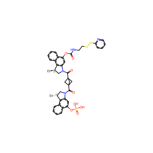 CC[C@@H]1CN(C(=O)C23CC(C(=O)N4C[C@@H](CC)c5c4cc(OP(=O)(O)O)c4ccccc54)(C2)C3)c2cc(OC(=O)NCCSSc3ccccn3)c3ccccc3c21